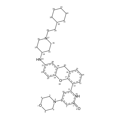 O=c1cc(N2CCOCC2)cc(-c2cccc3c2Oc2ccc(NC4CCN(CCC5CCCCC5)CC4)cc2C3)[nH]1